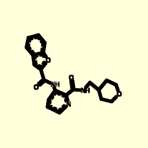 O=C(Nc1cccnc1C(=O)NCC1CCOCC1)c1cc2ccccc2o1